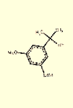 CCCC(C)(C)c1cc(OC)cc(OC)c1